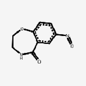 O=Nc1ccc2c(c1)C(=O)NCCO2